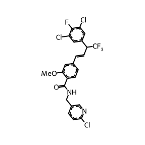 COc1cc(/C=C/C(c2cc(Cl)c(F)c(Cl)c2)C(F)(F)F)ccc1C(=O)NCc1ccc(Cl)nc1